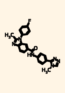 Cc1nc2ccc(C(=O)Nc3ccc(-c4nncn4C)cc3)cc2n1-c1ccc(F)cc1